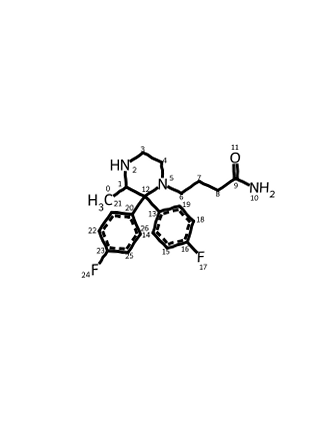 CC1NCCN(CCCC(N)=O)C1(c1ccc(F)cc1)c1ccc(F)cc1